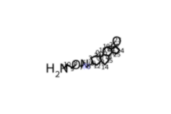 C[C@]12CC[C@H](/C=N/COCCN)CC1CCC1C2CC[C@]2(C)C(=O)CCC12